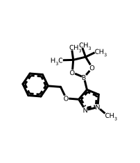 Cn1cc(B2OC(C)(C)C(C)(C)O2)c(OCc2ccccc2)n1